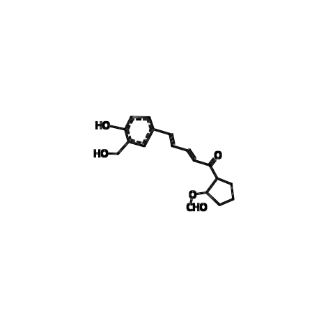 O=COC1CCCC1C(=O)/C=C/C=C/c1ccc(O)c(CO)c1